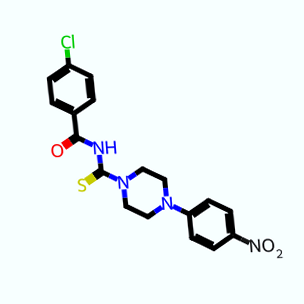 O=C(NC(=S)N1CCN(c2ccc([N+](=O)[O-])cc2)CC1)c1ccc(Cl)cc1